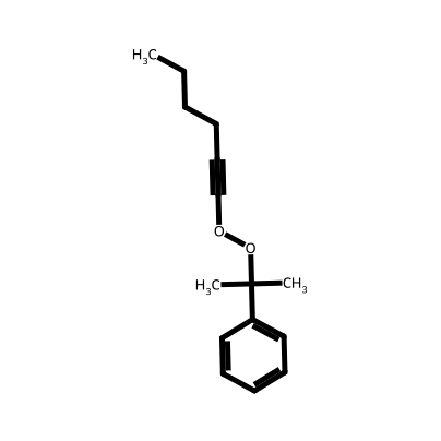 CCCCC#COOC(C)(C)c1ccccc1